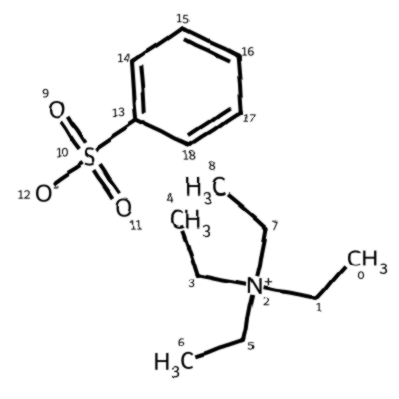 CC[N+](CC)(CC)CC.O=S(=O)([O-])c1ccccc1